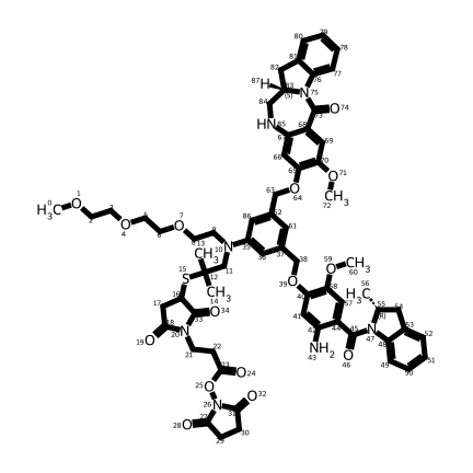 COCCOCCOCCN(CC(C)(C)SC1CC(=O)N(CCC(=O)ON2C(=O)CCC2=O)C1=O)c1cc(COc2cc(N)c(C(=O)N3c4ccccc4C[C@H]3C)cc2OC)cc(COc2cc3c(cc2OC)C(=O)N2c4ccccc4C[C@H]2CN3)c1